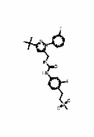 CC(C)(C)c1cc(CNC(=O)Nc2ccc(CCS(C)(=O)=O)c(F)c2)n(-c2cccc(Cl)c2)n1